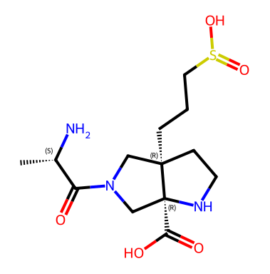 C[C@H](N)C(=O)N1C[C@@]2(CCCS(=O)O)CCN[C@@]2(C(=O)O)C1